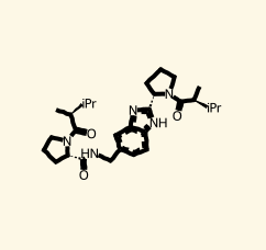 CC(C)[C@H](C)C(=O)N1CCC[C@H]1C(=O)NCc1ccc2[nH]c([C@@H]3CCCN3C(=O)[C@@H](C)C(C)C)nc2c1